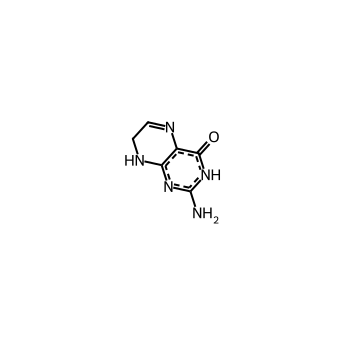 Nc1nc2c(c(=O)[nH]1)N=CCN2